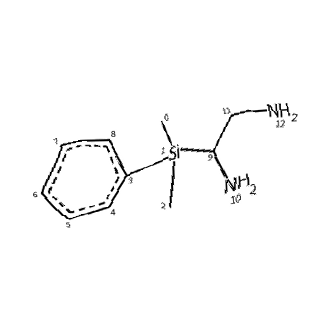 C[Si](C)(c1ccccc1)C(N)CN